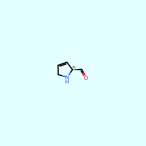 O=C[C@@H]1C=CCN1